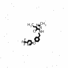 CCc1nc(C)nc(NCCc2ccc(Oc3ccc(C(F)(F)F)nc3)cc2)c1Cl